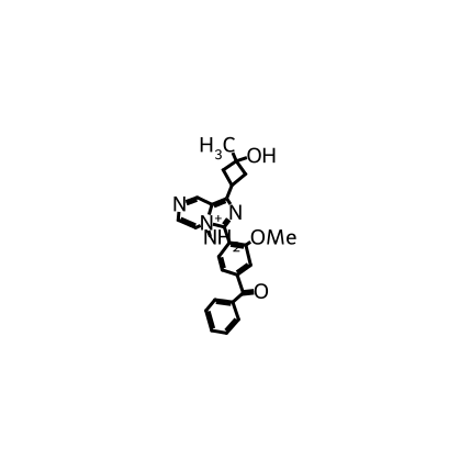 COc1cc(C(=O)c2ccccc2)ccc1C1=NC(C2CC(C)(O)C2)=C2C=NC=C[N+]12N